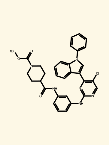 CC(C)(C)OC(=O)N1CCC(C(=O)Nc2cccc(Nc3ncc(Cl)c(-c4cn(-c5ccccc5)c5ccccc45)n3)c2)CC1